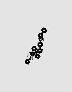 c1ccc(-c2ccc3nc(-c4ccc(-c5cccc6c5-c5ccccc5C6(c5ccccc5)c5ccc6oc(-c7ccccc7)nc6c5)cc4)nn3c2)cc1